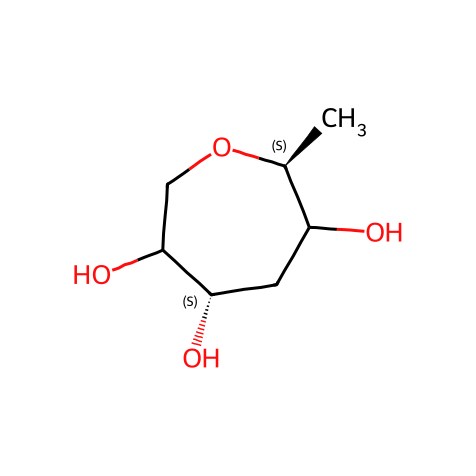 C[C@@H]1OCC(O)[C@@H](O)CC1O